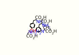 CC(N)C(=O)O.NC(Cc1ccc(O)cc1)C(=O)O.NC(Cc1ccccc1)C(=O)O.NCC(=O)O